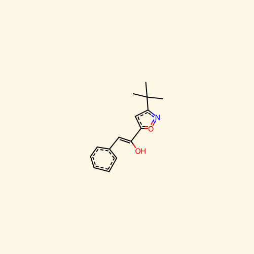 CC(C)(C)c1cc(C(O)=Cc2ccccc2)on1